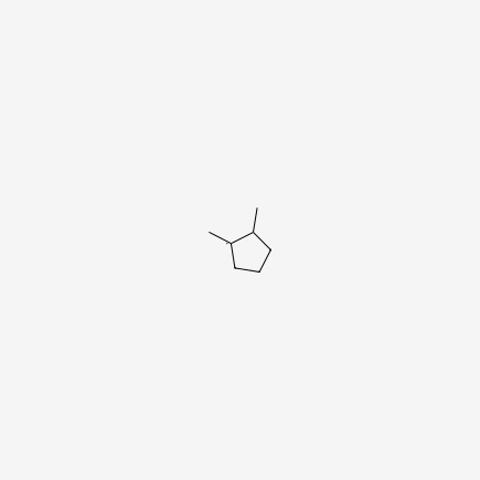 C[C]1CCCC1C